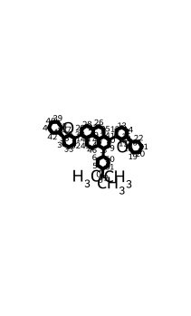 CC(C)(C)c1ccc(-c2cc(-c3cccc4c3oc3ccccc34)c3ccc4ccc(-c5cccc6c5oc5ccccc56)c5ccc2c3c45)cc1